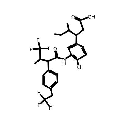 CCC(C)C(CC(=O)O)c1ccc(Cl)c(NC(=O)C(c2ccc(CC(F)(F)F)cc2)C(C)C(F)(F)F)c1